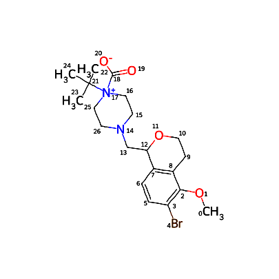 COc1c(Br)ccc2c1CCOC2CN1CC[N+](C(=O)[O-])(C(C)(C)C)CC1